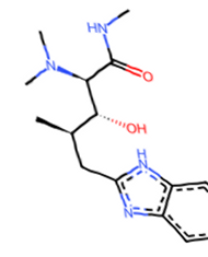 CNC(=O)[C@@H]([C@H](O)[C@H](C)Cc1nc2ccccc2[nH]1)N(C)C